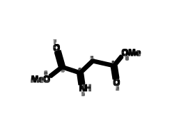 COC(=O)CC(=N)C(=O)OC